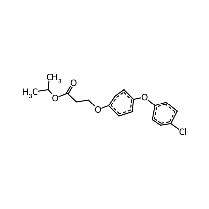 CC(C)OC(=O)CCOc1ccc(Oc2ccc(Cl)cc2)cc1